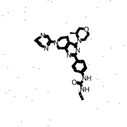 CCNC(=O)Nc1ccc(-c2nc3c(c(N4CCOC[C@@H]4C)n2)CCN(c2cnccn2)C3)cc1